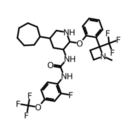 CN1CCC1(c1ccccc1OC1NCC(C2CCCCCC2)CC1NC(=O)Nc1ccc(OC(F)(F)F)cc1F)C(F)(F)F